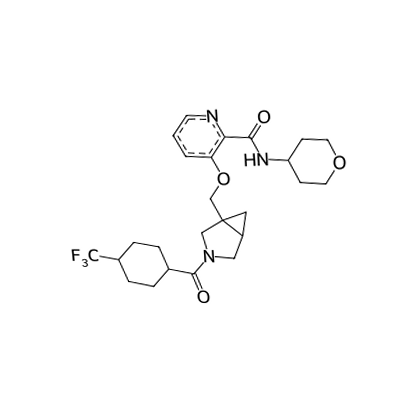 O=C(NC1CCOCC1)c1ncccc1OCC12CC1CN(C(=O)C1CCC(C(F)(F)F)CC1)C2